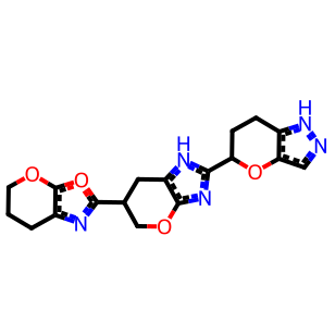 c1n[nH]c2c1OC(c1nc3c([nH]1)CC(c1nc4c(o1)OCCC4)CO3)CC2